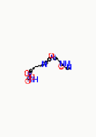 O=C(/C=C/c1cccnc1)NCCCCC1CCN(C(=O)c2ccc(C3CCN(CCCCCCC#Cc4ccc5c(c4)CN(C4CCC(=O)NC4=O)C5=O)CC3)cc2)CC1